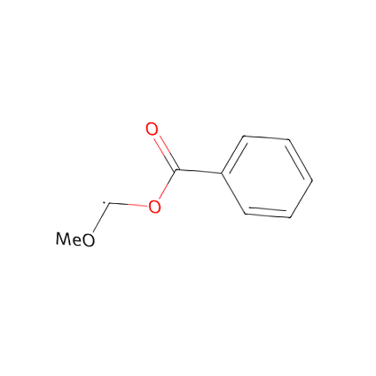 CO[CH]OC(=O)c1ccccc1